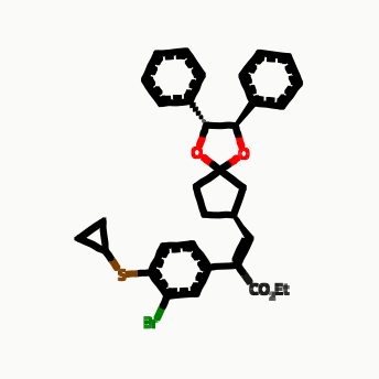 CCOC(=O)C(=C[C@H]1CCC2(C1)O[C@H](c1ccccc1)[C@@H](c1ccccc1)O2)c1ccc(SC2CC2)c(Br)c1